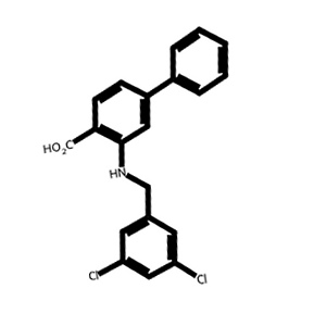 O=C(O)c1ccc(-c2ccccc2)cc1NCc1cc(Cl)cc(Cl)c1